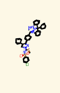 C/N=N\N(/N=C/c1ccc(C2=NN(/C(=N/S(=O)(=O)c3ccc(Cl)cc3)SC)CC2c2ccccc2)cc1)C(c1ccccc1)(c1ccccc1)c1ccccc1